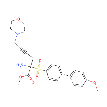 COC(=O)C(N)(CC#CCN1CCOCC1)S(=O)(=O)c1ccc(-c2ccc(OC)cc2)cc1